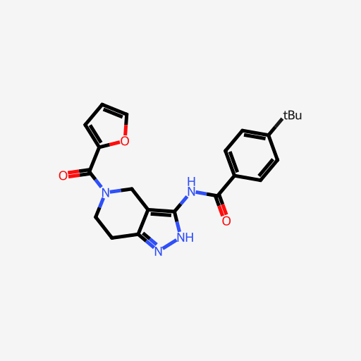 CC(C)(C)c1ccc(C(=O)Nc2[nH]nc3c2CN(C(=O)c2ccco2)CC3)cc1